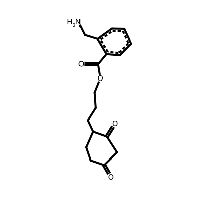 NCc1ccccc1C(=O)OCCCC1CCC(=O)CC1=O